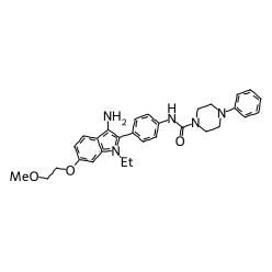 CCn1c(-c2ccc(NC(=O)N3CCN(c4ccccc4)CC3)cc2)c(N)c2ccc(OCCOC)cc21